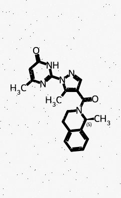 Cc1cc(=O)[nH]c(-n2ncc(C(=O)N3CCc4ccccc4[C@@H]3C)c2C)n1